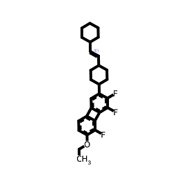 CCOc1ccc2c(c1F)-c1c-2cc(C2CCC(/C=C/C3CCCCC3)CC2)c(F)c1F